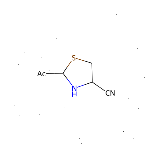 CC(=O)C1NC(C#N)CS1